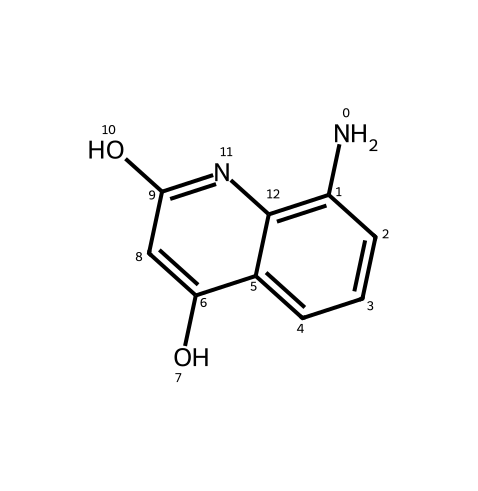 Nc1cccc2c(O)cc(O)nc12